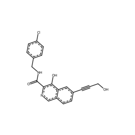 O=C(NCc1ccc(Cl)cc1)c1ncc2ccc(C#CCO)cc2c1O